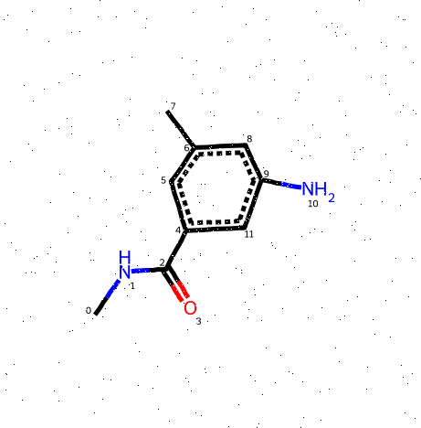 CNC(=O)c1cc(C)cc(N)c1